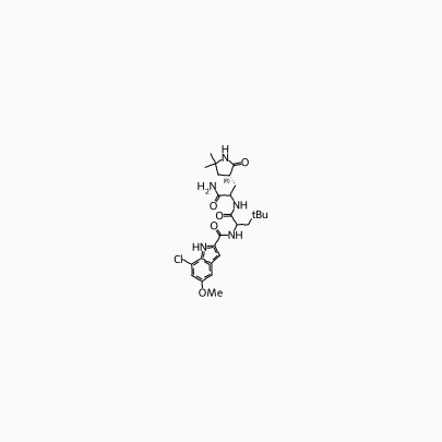 COc1cc(Cl)c2[nH]c(C(=O)NC(CC(C)(C)C)C(=O)NC(C[C@@H]3CC(C)(C)NC3=O)C(N)=O)cc2c1